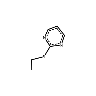 CCSc1ncccn1